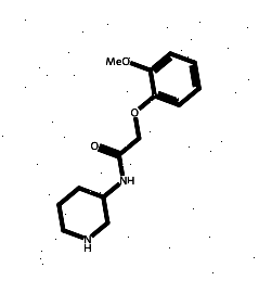 COc1ccccc1OCC(=O)NC1CCCNC1